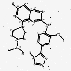 COc1cc(-c2nncn2C)ccc1Nc1ncc2cc(C)nc(N3CCC(N(C)C)CC3)c2n1